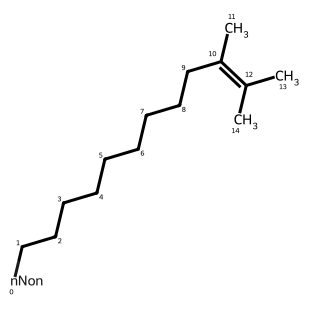 CCCCCCCCCCCCCCCCCCC(C)=C(C)C